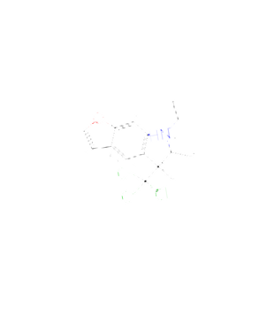 CCNC(C)C(C)(c1ccc2occc2c1)C(Cl)(Cl)Cl